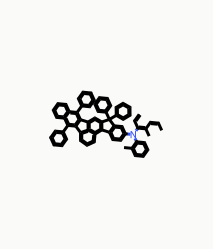 C=C/C(=C(C)\C=C/C)N(c1ccc2c(c1)C(c1ccccc1)(c1ccccc1)c1cc3c4c(cccc4c1-2)-c1c-3c(-c2ccccc2)c2ccccc2c1-c1ccccc1)c1ccccc1C